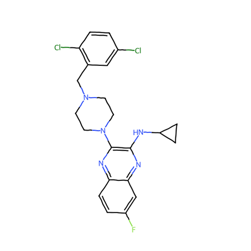 Fc1ccc2nc(N3CCN(Cc4cc(Cl)ccc4Cl)CC3)c(NC3CC3)nc2c1